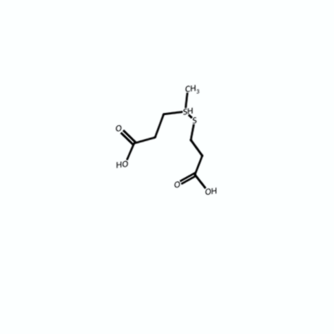 C[SH](CCC(=O)O)SCCC(=O)O